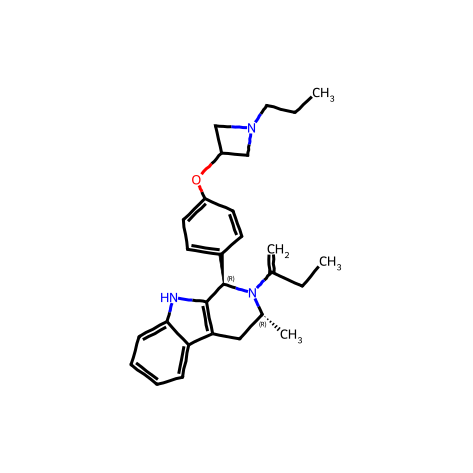 C=C(CC)N1[C@H](c2ccc(OC3CN(CCC)C3)cc2)c2[nH]c3ccccc3c2C[C@H]1C